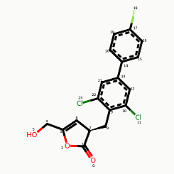 O=C1OC(CO)=C[C@H]1Cc1c(Cl)cc(-c2ccc(F)cc2)cc1Cl